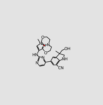 Cn1cc(Nc2nccc(-c3cc(C#N)c4c(c3)C(C)(CO)CN4)n2)c(OCCN2CCOCC2)n1